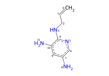 C=CCNc1ncc(N)cc1N